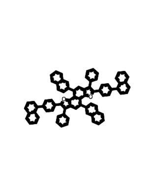 c1ccc(-c2c(-c3ccc(-c4cccc5ccccc45)cc3)oc3c2cc(-c2ccc4ccccc4c2)c2c4oc(-c5ccc(-c6cccc7ccccc67)cc5)c(-c5ccccc5)c4cc(-c4ccc5ccccc5c4)c32)cc1